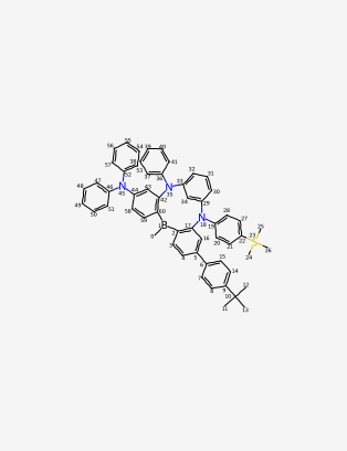 CB1c2ccc(-c3ccc(C(C)(C)C)cc3)cc2N(c2ccc(S(C)(C)C)cc2)c2cccc(c2)N(c2ccccc2)c2cc(N(c3ccccc3)c3ccccc3)ccc21